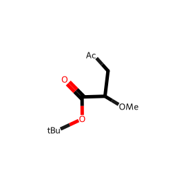 COC(CC(C)=O)C(=O)OC(C)(C)C